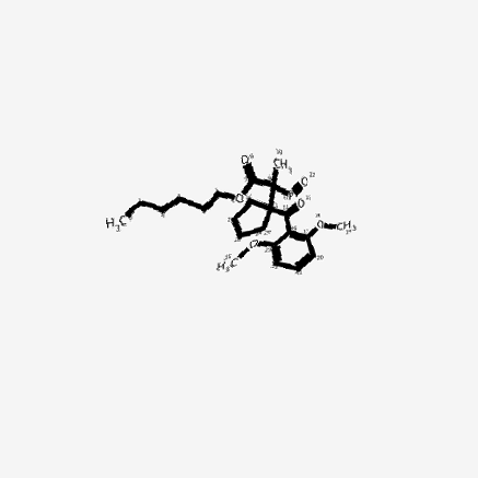 CCCCCCOC(=O)C(C)(P=O)C1(C(=O)c2c(OC)cccc2OC)CCCC1